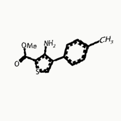 COC(=O)c1scc(-c2ccc(C)cc2)c1N